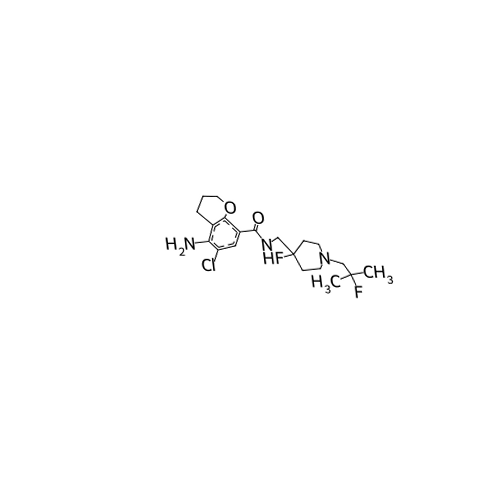 CC(C)(F)CN1CCC(F)(CNC(=O)c2cc(Cl)c(N)c3c2OCCC3)CC1